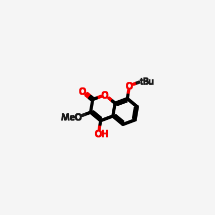 COc1c(O)c2cccc(OC(C)(C)C)c2oc1=O